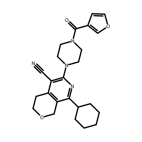 N#Cc1c(N2CCN(C(=O)c3ccoc3)CC2)nc(C2CCCCC2)c2c1CCOC2